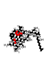 CC(C)CCCCCC(O)CC(=O)N[C@@H](C(=O)N[C@H](CCN)C(=O)NCC(=O)N[C@H](CO)C(=O)N[C@H](Cc1c[nH]c2ccccc12)C(=O)N[C@@H](CO)C(=O)N[C@@H](CCN)C(=O)N[C@H](CCN)C(=O)N[C@@H](Cc1ccccc1)C(=O)N[C@@H](CCC(=O)O)C(=O)N[C@H](C(=O)N[C@@H](C(=O)N[C@@H](CO)C(=O)O)C(C)C)C(C)C)C(C)C